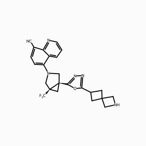 N#Cc1ccc(N2C[C@]3(c4nnc(C5CC6(CNC6)C5)o4)C[C@]3(C(F)(F)F)C2)c2cccnc12